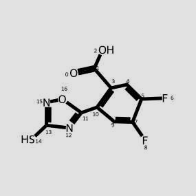 O=C(O)c1cc(F)c(F)cc1-c1nc(S)no1